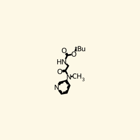 CN(C(=O)CNC(=O)OC(C)(C)C)c1cccnc1